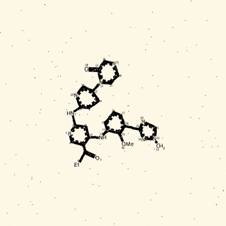 CCC(=O)c1cnc(Nc2ccc(-n3ccncc3=O)cn2)cc1Nc1cccc(-c2ncn(C)n2)c1OC